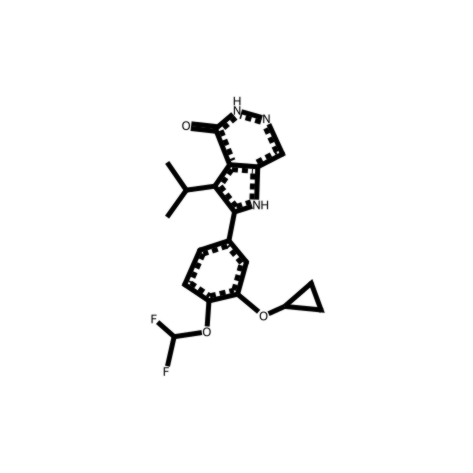 CC(C)c1c(-c2ccc(OC(F)F)c(OC3CC3)c2)[nH]c2cn[nH]c(=O)c12